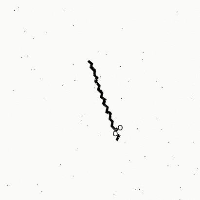 CCC=CCC=CCC=CCC=CCC=CCCCC(=O)OCC